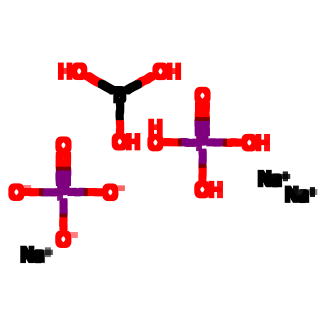 O=P(O)(O)O.O=P([O-])([O-])[O-].OB(O)O.[Na+].[Na+].[Na+]